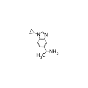 CC(N)c1ccc2c(c1)ncn2C1CC1